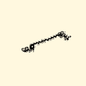 C[N+](C)(C)CCOP(=O)([O-])OCCCCCCCCCCCCCCCCCCc1ccc(NC(=O)/C=C\C(=O)O)cc1